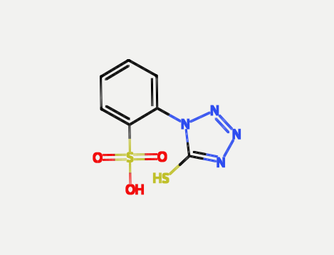 O=S(=O)(O)c1ccccc1-n1nnnc1S